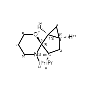 CC(C)[C@H]1C[C@@H]2C[C@@H]2[C@]12OCCCN2C(C)C